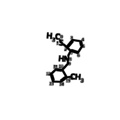 CSc1ccccc1NCc1ccccc1C